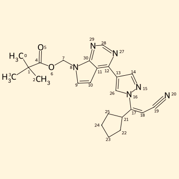 CC(C)(C)C(=O)OCn1ccc2c(-c3cnn(/C(=C\C#N)C4CCCC4)c3)ncnc21